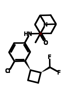 CC1CC2CC(C1)N2C(=O)Nc1ccc(Cl)c([C@H]2CC[C@H]2C(F)F)c1